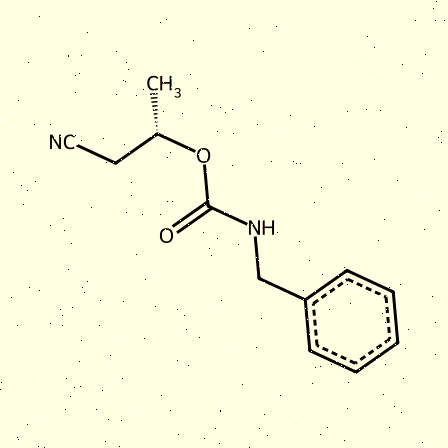 C[C@@H](CC#N)OC(=O)NCc1ccccc1